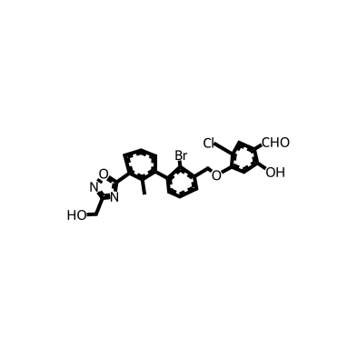 Cc1c(-c2nc(CO)no2)cccc1-c1cccc(COc2cc(O)c(C=O)cc2Cl)c1Br